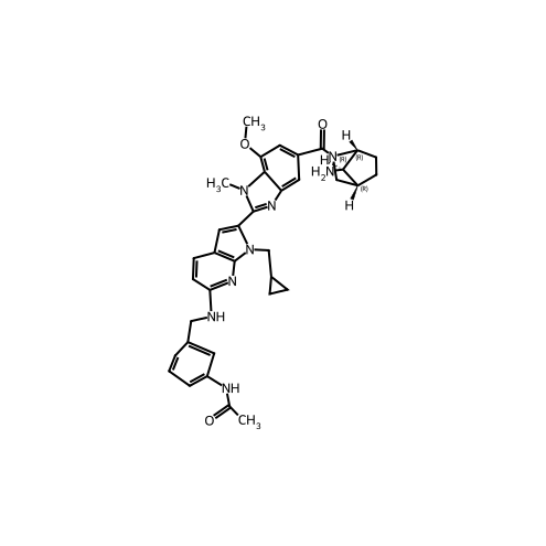 COc1cc(C(=O)N2C[C@H]3CC[C@@H]2[C@@H]3N)cc2nc(-c3cc4ccc(NCc5cccc(NC(C)=O)c5)nc4n3CC3CC3)n(C)c12